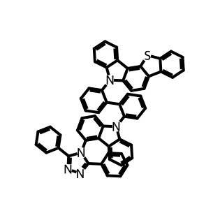 c1ccc(-c2nnc(-c3ccccc3)n2-c2cccc3c2c2ccccc2n3-c2ccccc2-c2ccccc2-n2c3ccccc3c3c4sc5ccccc5c4ccc32)cc1